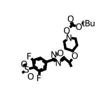 CC(OC1CCN(OC(=O)OC(C)(C)C)CC1)c1nc(-c2cc(F)c(S(C)(=O)=O)c(F)c2)no1